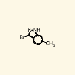 Cc1ccc2c(Br)n[nH]c2c1